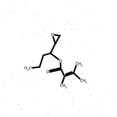 CCCC(OC(=O)C(C)=C(C)C)C1CO1